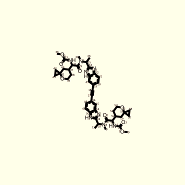 COC(=O)NC(C(=O)N(C)C(C)c1nc2cc(C#Cc3ccc4nc(C(C)N(C)C(=O)C(NC(=O)OC)C5CCOC6(CC6)C5)[nH]c4c3)ccc2[nH]1)C1CCOC2(CC2)C1